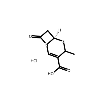 CC1S[C@@H]2CC(=O)N2C=C1C(=O)O.Cl